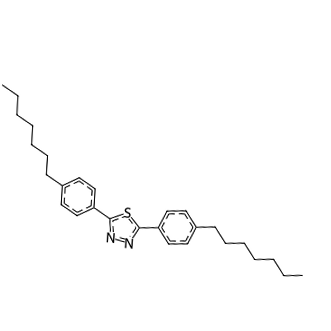 CCCCCCCc1ccc(-c2nnc(-c3ccc(CCCCCCC)cc3)s2)cc1